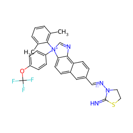 Cc1cccc(C)c1[N+]1(c2ccc(OC(F)(F)F)cc2)C=Nc2c1ccc1cc(/C=N/N3CCSC3=N)ccc21